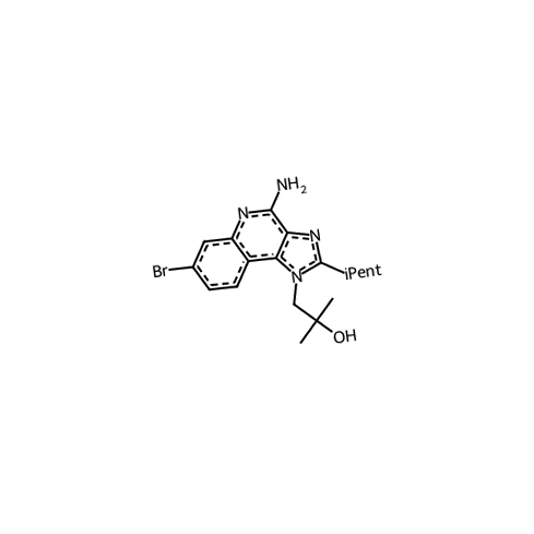 CCCC(C)c1nc2c(N)nc3cc(Br)ccc3c2n1CC(C)(C)O